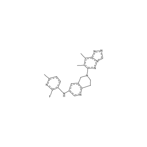 Cc1ccc(Nc2cnc3c(c2)CN(c2nn4cnnc4c(C)c2C)CC3)c(F)n1